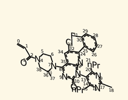 C=CC(=O)N1CCN(c2nc(=O)n(-c3c(CCC)nc(C)nc3CCC)c3nc(-c4ccccc4F)c(Cl)cc23)[C@@H](C)C1